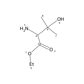 CCOC(=O)C(N)C(C)(C)O